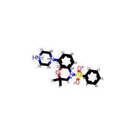 CC1(C)CN(S(=O)(=O)c2ccccc2)c2cccc(N3CCNCC3)c2O1